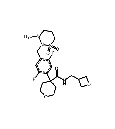 C[C@H]1CCCS(=O)(=O)N1Cc1cc(F)c(C2(C(=O)NCC3COC3)CCOCC2)cc1F